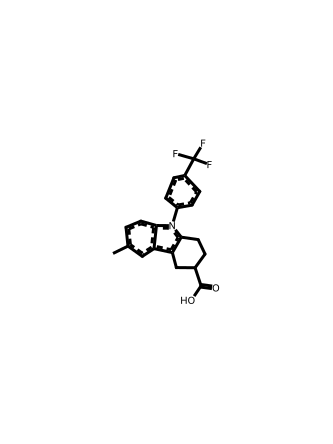 Cc1ccc2c(c1)c1c(n2-c2ccc(C(F)(F)F)cc2)CCC(C(=O)O)C1